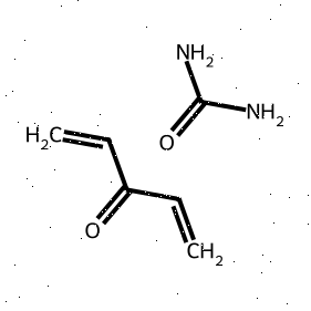 C=CC(=O)C=C.NC(N)=O